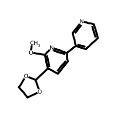 COc1nc(-c2cccnc2)ccc1C1OCCO1